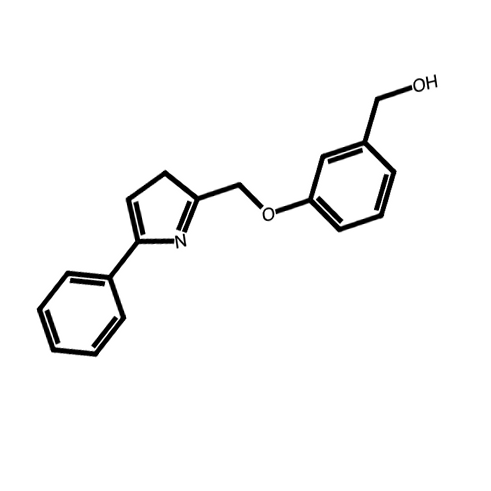 OCc1cccc(OCC2=NC(c3ccccc3)=CC2)c1